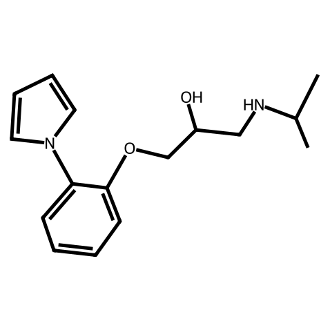 CC(C)NCC(O)COc1ccccc1-n1cccc1